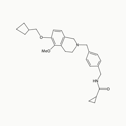 COc1c(OCC2CCC2)ccc2c1CCN(Cc1ccc(CNC(=O)C3CC3)cc1)C2